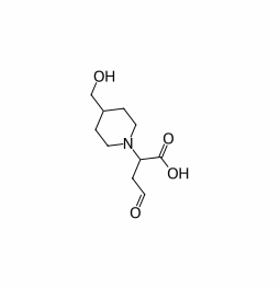 O=CCC(C(=O)O)N1CCC(CO)CC1